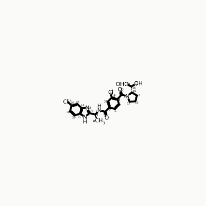 C[C@H](NC(=O)c1ccc(C(=O)N2CCC[C@H]2C(O)C=O)c(Cl)c1)c1nc2cc(Cl)ccc2[nH]1